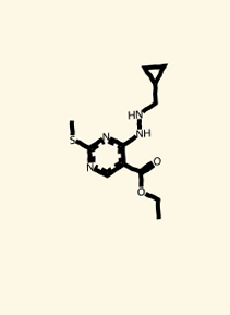 CCOC(=O)c1cnc(SC)nc1NNCC1CC1